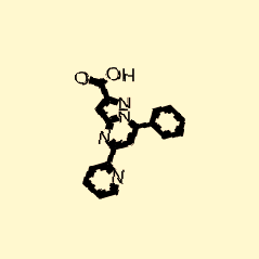 O=C(O)c1cc2nc(-c3ccccn3)cc(-c3ccccc3)n2n1